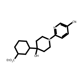 CCOC(=O)C1CCCC(C2(O)CCN(c3ccc(C#N)cn3)CC2)C1